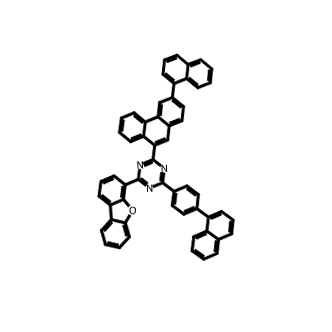 c1ccc2c(-c3ccc(-c4nc(-c5cc6ccc(-c7cccc8ccccc78)cc6c6ccccc56)nc(-c5cccc6c5oc5ccccc56)n4)cc3)cccc2c1